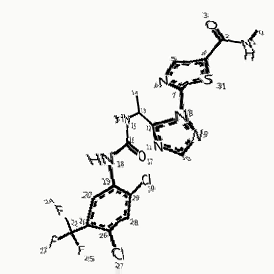 CNC(=O)c1cnc(-n2ncnc2C(C)NC(=O)Nc2cc(C(F)(F)F)c(Cl)cc2Cl)s1